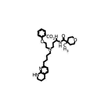 CC1(C(=O)NC(CCN(CCCCc2ccc3c(n2)NCCC3)CCOc2ccccc2)C(=O)O)CCOCC1